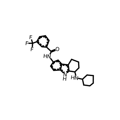 O=C(Nc1ccc2[nH]c3c(c2c1)CCCC3NC1CCCCC1)c1cccc(C(F)(F)F)c1